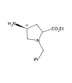 CCOC(=O)C1C[C@H](N)CN1CC(C)C